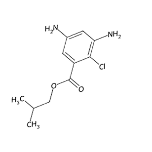 CC(C)COC(=O)c1cc(N)cc(N)c1Cl